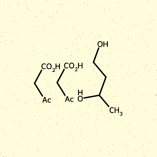 CC(=O)CC(=O)O.CC(=O)CC(=O)O.CC(O)CCO